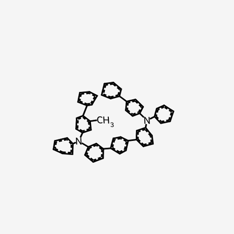 Cc1cc(N(c2ccccc2)c2cccc(-c3ccc(-c4cccc(N(c5ccccc5)c5ccc(-c6ccccc6)cc5)c4)cc3)c2)ccc1-c1ccccc1